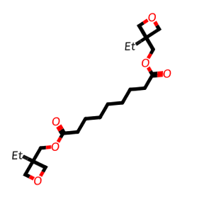 CCC1(COC(=O)CCCCCCCC(=O)OCC2(CC)COC2)COC1